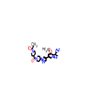 C=CC(=O)N1CCC(C(=O)N2CCC(n3cc(-c4cc(OC)c5c(C#N)cnn5c4)cn3)CC2)CC1